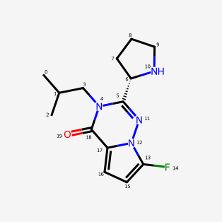 CC(C)Cn1c([C@@H]2CCCN2)nn2c(F)ccc2c1=O